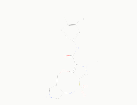 Cc1cc(NC(=O)c2c3c(cn2C)S(=O)(=O)NC2CNCC2CO3)ccc1F.Cl